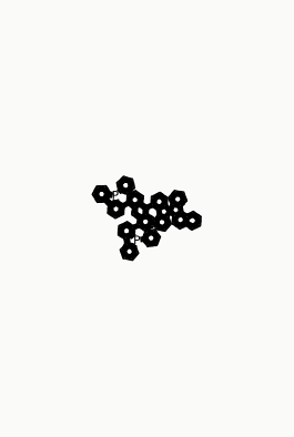 c1ccc(-p2c3ccccc3c3cccc(-c4cccc5c(-c6cccc7c6-c6ccccc6C76c7ccccc7-c7c6ccc6ccccc76)c6cccc(-c7cccc8c9ccccc9p(-c9ccccc9)c78)c6cc45)c32)cc1